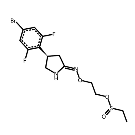 CCS(=O)OCCO/N=C1/C[C@H](c2c(F)cc(Br)cc2F)CN1